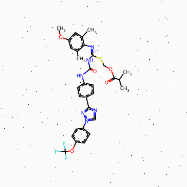 COc1cc(C)c(/N=C(\NC(=O)Nc2ccc(-c3ncn(-c4ccc(OC(F)(F)F)cc4)n3)cc2)SCOC(=O)C(C)C)c(C)c1